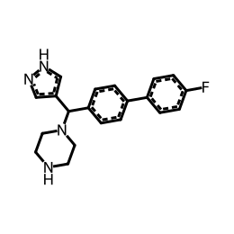 Fc1ccc(-c2ccc(C(c3cn[nH]c3)N3CCNCC3)cc2)cc1